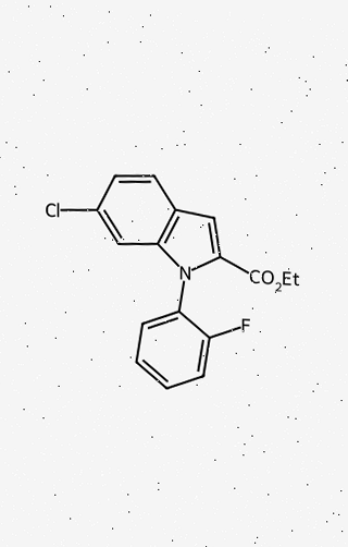 CCOC(=O)c1cc2ccc(Cl)cc2n1-c1ccccc1F